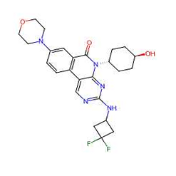 O=c1c2cc(N3CCOCC3)ccc2c2cnc(NC3CC(F)(F)C3)nc2n1[C@H]1CC[C@H](O)CC1